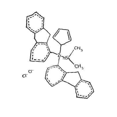 C[SiH](C)[Zr]([c]1cccc2c1Cc1ccccc1-2)([c]1cccc2c1Cc1ccccc1-2)[CH]1C=CC=C1.[Cl-].[Cl-]